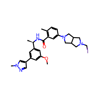 COc1cc(-c2cnn(C)c2)cc([C@@H](C)NC(=O)c2cc(N3CC4CN(CI)CC4C3)ccc2C)c1